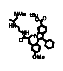 CNCC(C)NCCNC(=O)C1=Cc2cc(OC)ccc2-c2c(C3CCCCC3)c3ccc(C(=O)OC(C)(C)C)cc3n2C1